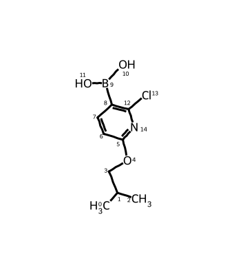 CC(C)COc1ccc(B(O)O)c(Cl)n1